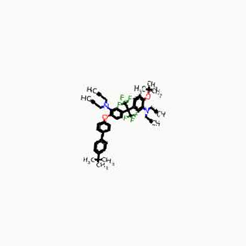 C#CCN(CC#C)c1cc(C(c2ccc(OC(C)(C)C)c(N(CC#C)CC#C)c2)(C(F)(F)F)C(F)(F)F)ccc1Oc1ccc(-c2ccc(C(C)(C)C)cc2)cc1